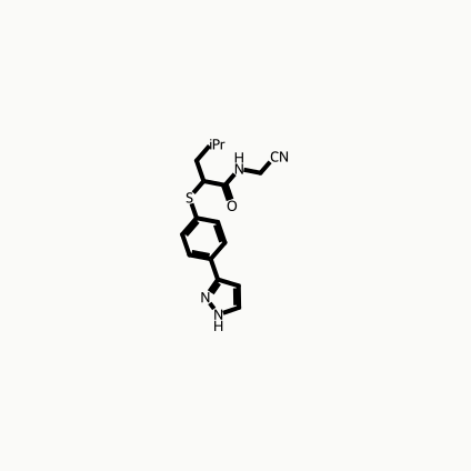 CC(C)CC(Sc1ccc(-c2cc[nH]n2)cc1)C(=O)NCC#N